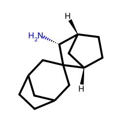 N[C@@H]1[C@@H]2CC[C@@H](C2)C12CC1CCC(C1)C2